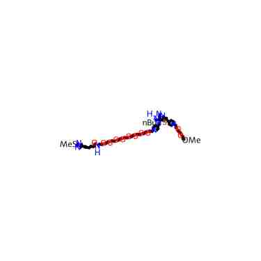 CCCCc1nc2c(N)nc3cc(C4CCN(CCOCCOCCOC)CC4)sc3c2n1CC1CCN(CCOCCOCCOCCOCCOCCOCCOCCOCCNC(=O)CCCC#Cc2cnc(SC)nc2)CC1